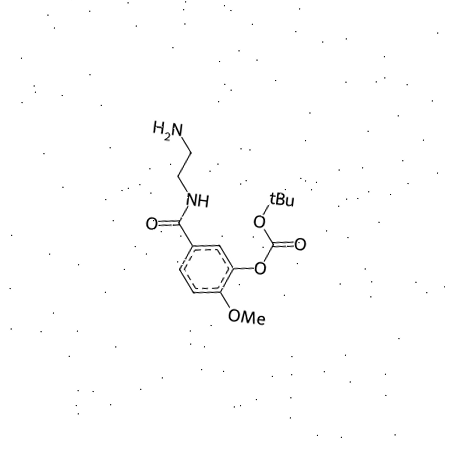 COc1ccc(C(=O)NCCN)cc1OC(=O)OC(C)(C)C